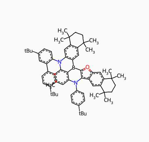 Cc1cc2c3c(c1)N(c1ccc(C(C)(C)C)cc1)c1c(oc4cc5c(cc14)C(C)(C)CCC5(C)C)B3c1cc3c(cc1N2c1ccc(C(C)(C)C)cc1-c1ccc(C(C)(C)C)cc1)C(C)(C)CCC3(C)C